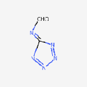 O=CN=C1N=NN=N1